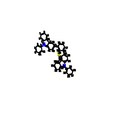 c1ccc(-n2c3ccccc3c3cc(-c4cccc5c4sc4c5ccc5c4c4ccccc4n5-c4ccccc4)ccc32)cc1